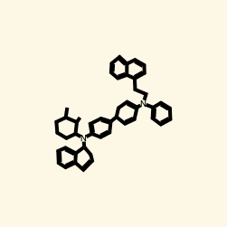 CC1CCCC(N(c2ccc(C3C=CC(N(CCc4cccc5ccccc45)c4ccccc4)=CC3)cc2)C2CC=Cc3ccccc32)C1C